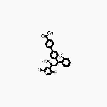 Cc1ccccc1C(CC(=NO)c1cc(Cl)ncc1F)c1ccc(-c2ccc(C(=O)O)cc2)cc1